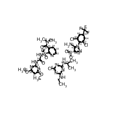 CCNc1nc(Cl)nc(NC(C)C)n1.COc1cc(OC)nc(NC(=O)NS(=O)(=O)c2ncccc2C(=O)N(C)C)n1.Nc1c([N+](=O)[O-])cnn1-c1c(Cl)cc(C(F)(F)F)cc1Cl